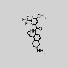 Cc1cc(C(=O)Nc2ccc3c(c2C=O)CC[C@@H](N)C3)nc(C(F)(F)F)n1